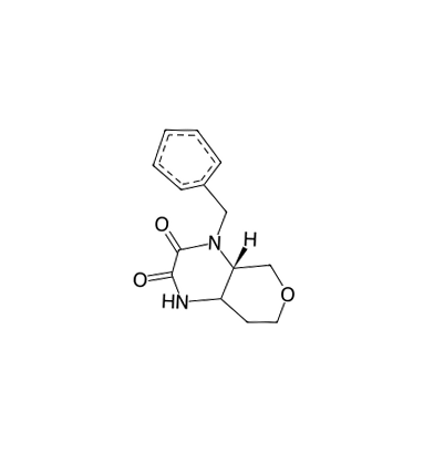 O=C1NC2CCOC[C@H]2N(Cc2ccccc2)C1=O